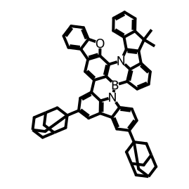 CC1(C)c2ccccc2-c2c1c1cccc3c1n2-c1c2c(cc4c1oc1ccccc14)-c1cc(C45CC6CC(CC(C6)C4)C5)cc4c5cc(C67CC8CC(CC(C8)C6)C7)ccc5n(c14)B23